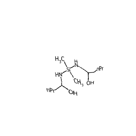 CCCC(O)N[Si](C)(C)NC(O)CCC